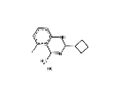 Cl.NC1=NC(C2CCC2)Nc2cccc(F)c21